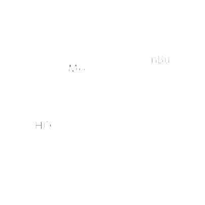 CCCCCCCC(C)(C)O.[Mo]